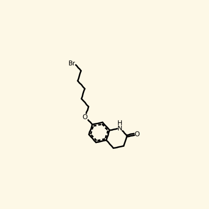 O=C1CCc2ccc(OCCCCCBr)cc2N1